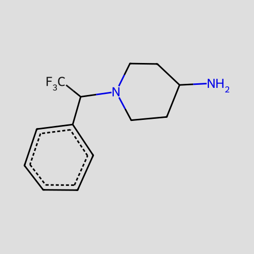 NC1CCN(C(c2ccccc2)C(F)(F)F)CC1